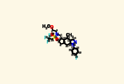 COCCN(C[C@H]1CCC2=C1[C@@H](C)c1cnn(-c3ccc(F)cc3)c1C2)S(=O)(=O)CC(F)(F)F